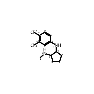 CNC1CCCC1Nc1ccc(Cl)c(Cl)c1